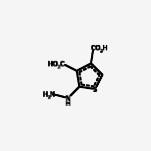 NNc1scc(C(=O)O)c1C(=O)O